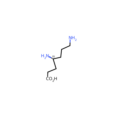 NCCC[C@H](N)CCC(=O)O